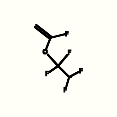 C=C(F)OC(F)(F)[C](F)F